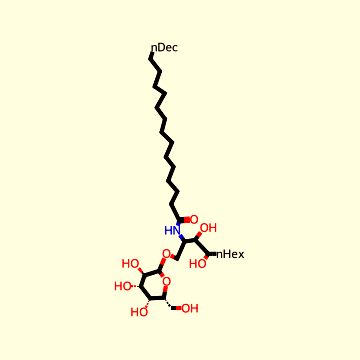 CCCCCCCCCCCCCCCCCCCCCCCC(=O)NC(COC1O[C@H](CO)[C@H](O)[C@H](O)[C@H]1O)C(O)C(O)CCCCCC